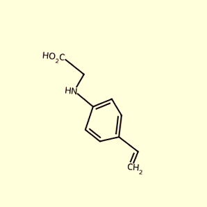 C=Cc1ccc(NCC(=O)O)cc1